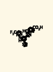 CC1(C)C[C@@](O)(c2ncc(-c3cc(Nc4nccc(C(F)(F)F)n4)cc(-c4cccs4)c3)s2)CC[C@@H]1C(=O)O